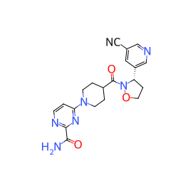 N#Cc1cncc([C@@H]2CCON2C(=O)C2CCN(c3ccnc(C(N)=O)n3)CC2)c1